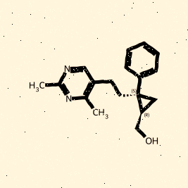 Cc1ncc(CC[C@]2(c3ccccc3)C[C@H]2CO)c(C)n1